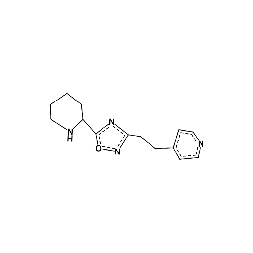 c1cc(CCc2noc(C3CCCCN3)n2)ccn1